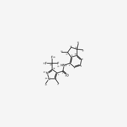 Cc1c(C(=O)Nc2cccc3c2C(C)CC3(C)C)c(C(F)(F)F)nn1C